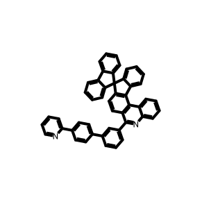 c1ccc(-c2ccc(-c3cccc(-c4nc5ccccc5c5c6c(ccc45)C4(c5ccccc5-c5ccccc54)c4ccccc4-6)c3)cc2)nc1